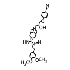 COc1ccc(CCN(C#N)C(=N)N2CC3CC(CN(CC(O)COc4ccc(C#N)cc4)C3)C2)cc1OC